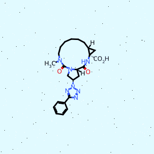 CN1CCCCCC[C@@H]2C[C@@]2(C(=O)O)NC(=O)[C@@H]2C[C@@H](n3nnc(-c4ccccc4)n3)CN2C1=O